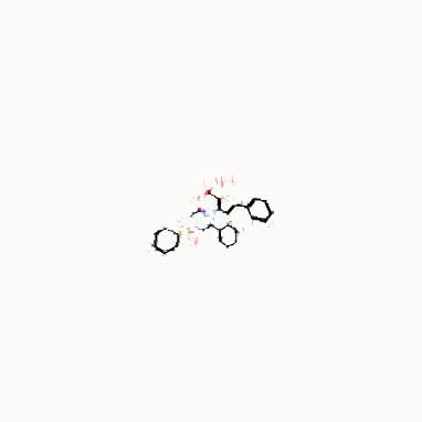 O=C(O)c1sc(-c2ccccc2)cc1N1C(=O)CN(S(=O)(=O)C2CCCCC2)CC1C1CCCCC1